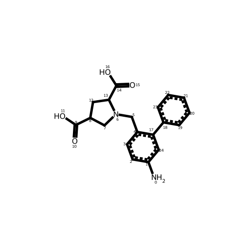 Nc1ccc(CN2CC(C(=O)O)CC2C(=O)O)c(-c2ccccc2)c1